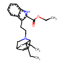 CCOC(=O)c1[nH]c2ccccc2c1CCN1CC2C=CC1C(C)(CC)C2